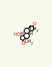 C[C@]12CCC(=O)C=C1CCC1[C@@H]3[C@@H](O)CC(=O)[C@@]3(C)CC[C@@H]12